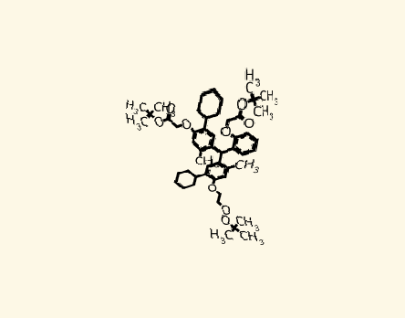 Cc1cc(OCCOOC(C)(C)C)c(C2CCCCC2)cc1C(c1cc(C2CCCCC2)c(OCC(=O)OC(C)(C)C)cc1C)c1ccccc1OCC(=O)OC(C)(C)C